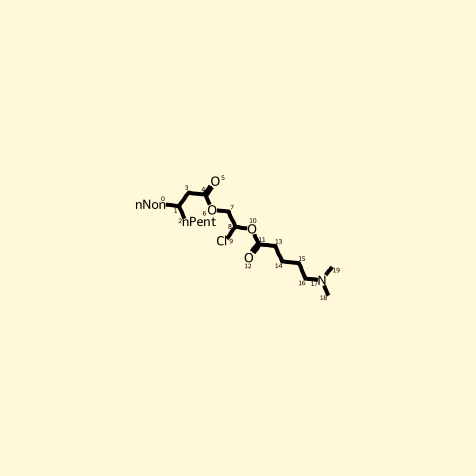 CCCCCCCCCC(CCCCC)CC(=O)OCC(Cl)OC(=O)CCCCN(C)C